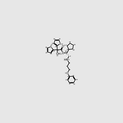 O=C(O[C@@H](CNCCCOc1ccccc1)C1CCCC1)C(O)(c1cccs1)c1cccs1